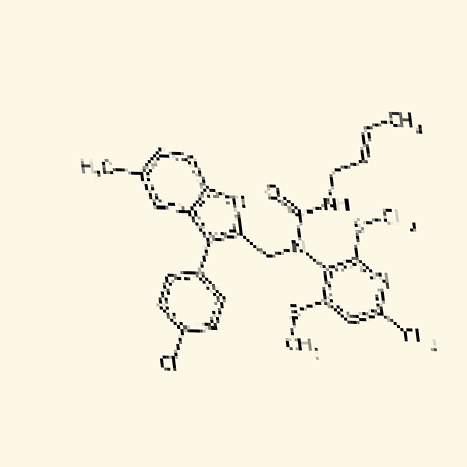 CC=CCNC(=O)N(Cc1oc2ccc(C)cc2c1-c1ccc(Cl)cc1)c1c(SC)cc(C)nc1SC